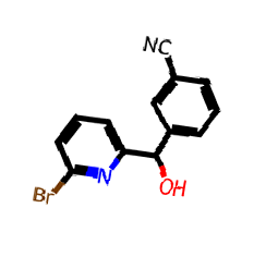 N#Cc1cccc(C(O)c2cccc(Br)n2)c1